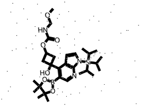 COCNC(=O)OC1CC(O)(c2c(B3OC(C)(C)C(C)(C)O3)cnc3c2ccn3[Si](C(C)C)(C(C)C)C(C)C)C1